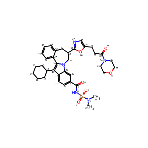 CN(C)S(=O)(=O)NC(=O)c1ccc2c(C3CCCCC3)c3n(c2c1)CC(c1ncc(CCC(=O)N2CCOCC2)o1)Cc1ccccc1-3